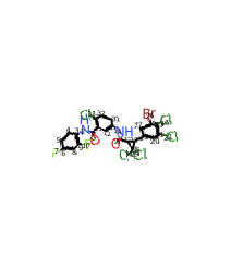 O=C(Nc1ccc(F)cc1F)c1cc(NC(=O)C2C(c3cc(Cl)c(Cl)c(Br)c3)C2(Cl)Cl)ccc1Cl